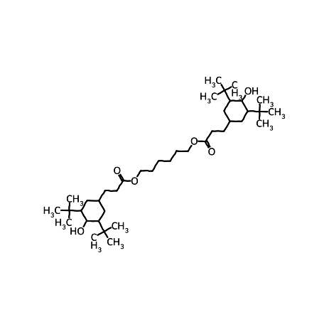 CC(C)(C)C1CC(CCC(=O)OCCCCCCOC(=O)CCC2CC(C(C)(C)C)C(O)C(C(C)(C)C)C2)CC(C(C)(C)C)C1O